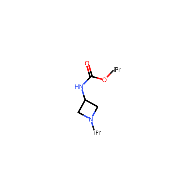 CC(C)OC(=O)NC1CN(C(C)C)C1